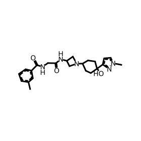 Cc1cccc(C(=O)NCC(=O)NC2CN(C3CCC(O)(c4ccn(C)n4)CC3)C2)c1